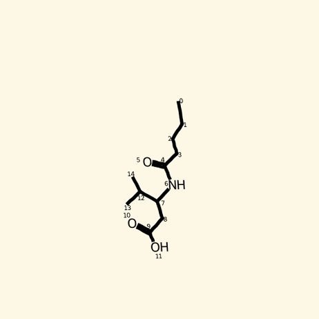 CCCCC(=O)NC(CC(=O)O)C(C)C